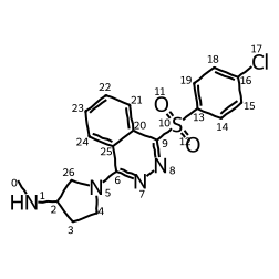 CNC1CCN(c2nnc(S(=O)(=O)c3ccc(Cl)cc3)c3ccccc23)C1